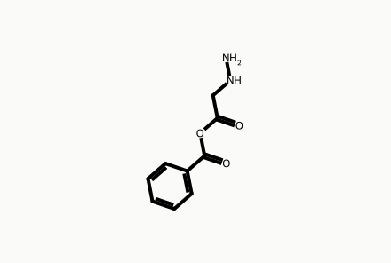 NNCC(=O)OC(=O)c1ccccc1